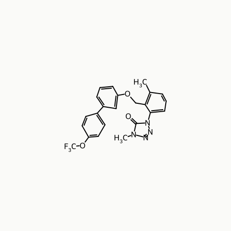 Cc1cccc(-n2nnn(C)c2=O)c1COc1cccc(-c2ccc(OC(F)(F)F)cc2)c1